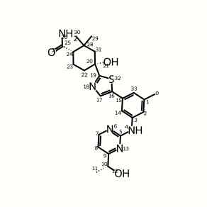 Cc1cc(Nc2nccc([C@@H](C)O)n2)cc(-c2cnc([C@@]3(O)CC[C@H](C(N)=O)C(C)(C)C3)s2)c1